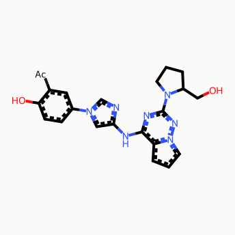 CC(=O)c1cc(-n2cnc(Nc3nc(N4CCCC4CO)nn4cccc34)c2)ccc1O